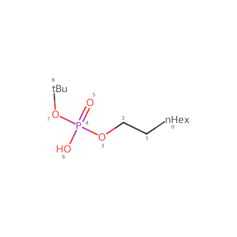 CCCCCCCCOP(=O)(O)OC(C)(C)C